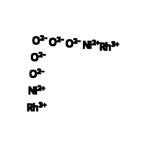 [Ni+2].[Ni+2].[O-2].[O-2].[O-2].[O-2].[O-2].[Rh+3].[Rh+3]